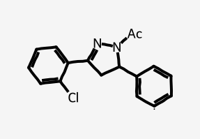 CC(=O)N1N=C(c2ccccc2Cl)CC1c1c[c]ccc1